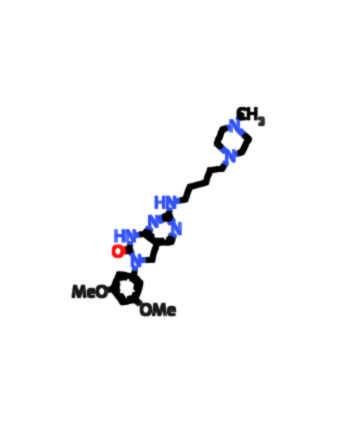 COc1cc(OC)cc(N2Cc3cnc(NCCCCCN4CCN(C)CC4)nc3NC2=O)c1